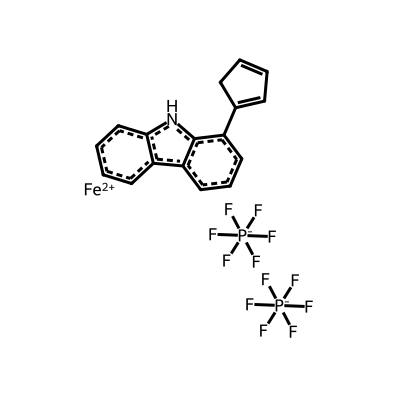 C1=CCC(c2cccc3c2[nH]c2ccccc23)=C1.F[P-](F)(F)(F)(F)F.F[P-](F)(F)(F)(F)F.[Fe+2]